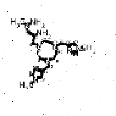 CN(N)/C=C(\N)CN1CCN(Cc2cn(C)nn2)CCN(Cc2cn(C)nn2)CC1